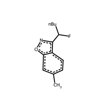 CCCCC(F)c1noc2cc(C)ccc12